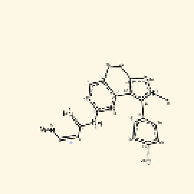 CN/C=C\C(=N)Nc1ncc2c(n1)-c1c(nn(C)c1-c1ccc(Cl)cc1)CC2